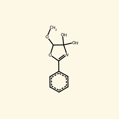 COC1OC(c2ccccc2)=NC1(O)O